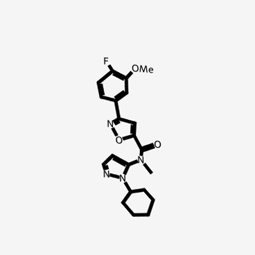 COc1cc(-c2cc(C(=O)N(C)c3ccnn3C3CCCCC3)on2)ccc1F